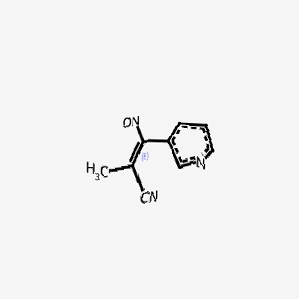 C/C(C#N)=C(\N=O)c1cccnc1